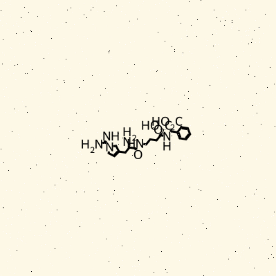 N=C(N)N1CC=C(CC(N)C(=O)NCCCC(=O)NC(C(=O)O)c2ccccc2C(=O)O)C1